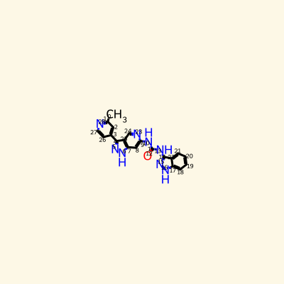 Cc1cc(-c2n[nH]c3cc(NC(=O)Nc4n[nH]c5ccccc45)ncc23)ccn1